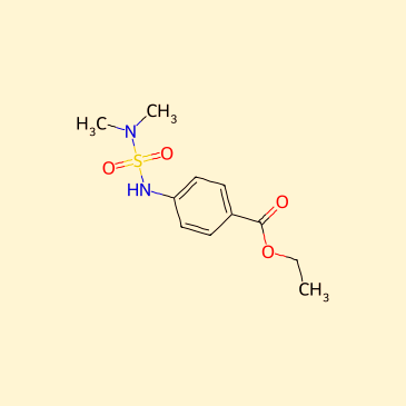 CCOC(=O)c1ccc(NS(=O)(=O)N(C)C)cc1